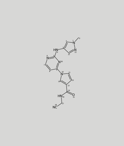 Cn1cc(Nc2nccc(-n3ccc(C(=O)NCC#N)c3)n2)cn1